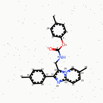 Cc1ccc(OC(=O)NCc2c(-c3ccc(C)cc3)nc3ccc(C)cn23)cc1